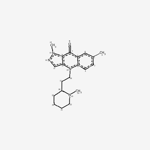 Cc1ccc2c(c1)c(=O)c1c(cnn1C)n2CCC1CCCCN1C